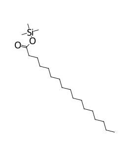 CCCCCCCCCCCCCCCCC(=O)O[Si](C)(C)C